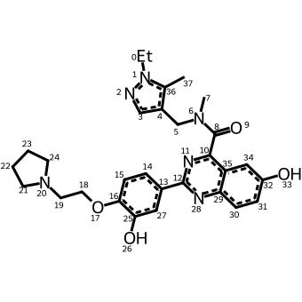 CCn1ncc(CN(C)C(=O)c2nc(-c3ccc(OCCN4CCCC4)c(O)c3)nc3ccc(O)cc23)c1C